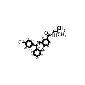 CC(C)CNC(=O)c1ccc2c(c1)N=C(c1ccc(Cl)cc1)c1ccccc1S2